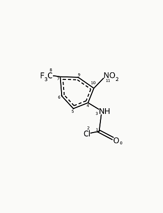 O=C(Cl)Nc1ccc(C(F)(F)F)cc1[N+](=O)[O-]